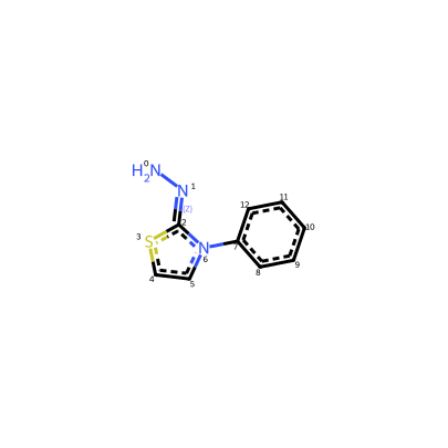 N/N=c1\sccn1-c1ccccc1